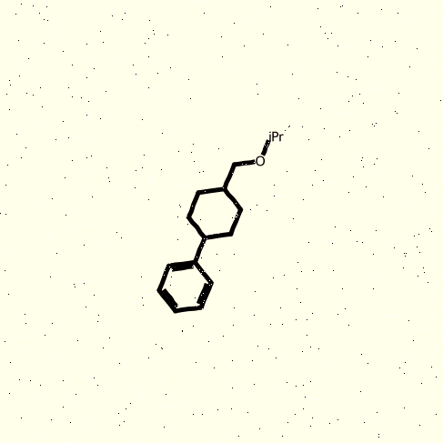 CC(C)OCC1CCC(c2ccccc2)CC1